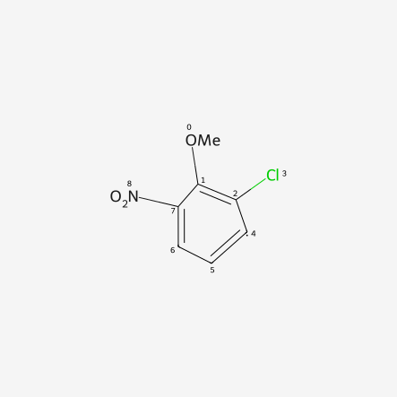 COc1c(Cl)[c]ccc1[N+](=O)[O-]